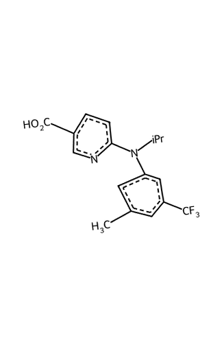 Cc1cc(N(c2ccc(C(=O)O)cn2)C(C)C)cc(C(F)(F)F)c1